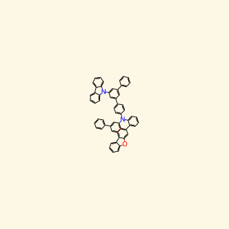 c1ccc(-c2cccc(N(c3ccc(-c4cc(-c5ccccc5)cc(-n5c6ccccc6c6ccccc65)c4)cc3)c3ccccc3-c3ccc4c(c3)oc3ccccc34)c2)cc1